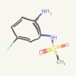 CS(=O)(=O)Nc1cc(F)ccc1N